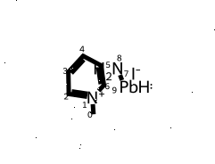 C[n+]1ccccc1.[I-].[NH2][PbH]